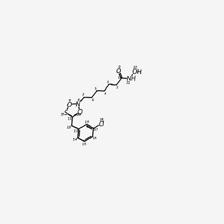 O=C(CCCCCCN1OSC(Cc2cccc(Cl)c2)O1)NO